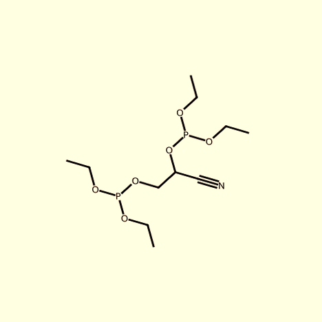 CCOP(OCC)OCC(C#N)OP(OCC)OCC